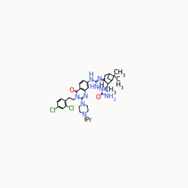 CC1C2CC(C[C@@H]1/N=C(\NNC(N)=O)Nc1ccc3c(=O)n(CCc4ccc(Cl)cc4Cl)c(N4CCN(C(C)C)CC4)nc3c1)C2(C)C